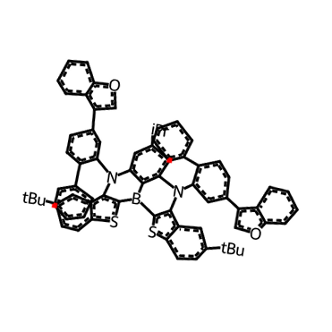 CC(C)c1cc2c3c(c1)N(c1cc(-c4coc5ccccc45)ccc1-c1ccccc1)c1c(sc4ccc(C(C)(C)C)cc14)B3c1sc3ccc(C(C)(C)C)cc3c1N2c1cc(-c2coc3ccccc23)ccc1-c1ccccc1